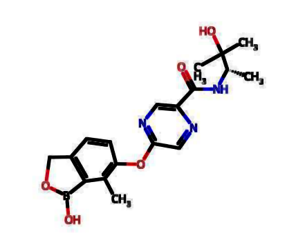 Cc1c(Oc2cnc(C(=O)N[C@@H](C)C(C)(C)O)cn2)ccc2c1B(O)OC2